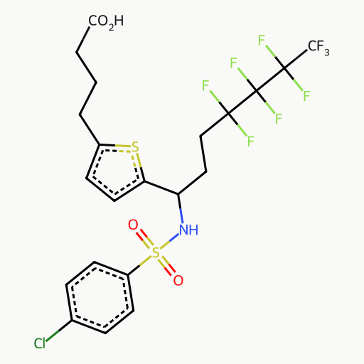 O=C(O)CCCc1ccc(C(CCC(F)(F)C(F)(F)C(F)(F)C(F)(F)F)NS(=O)(=O)c2ccc(Cl)cc2)s1